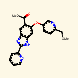 COCc1ccc(Oc2cc3[nH]c(-c4ccccn4)nc3cc2C(=O)OC)cn1